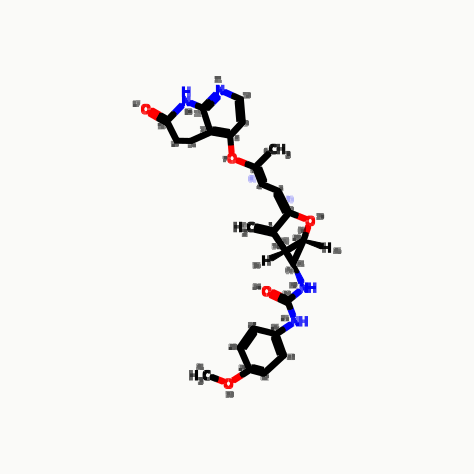 C=C1/C(=C\C=C(/C)Oc2ccnc3c2CCC(=O)N3)O[C@@H]2[C@@H](NC(=O)Nc3ccc(OC)cc3)[C@H]12